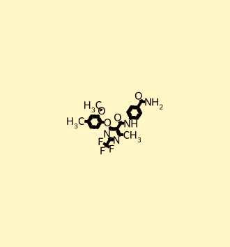 COc1cc(C)ccc1Oc1nc(C(F)(F)F)nc(C)c1C(=O)Nc1ccc(C(N)=O)cc1